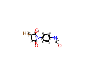 O=C=Nc1ccc(N2C(=O)CC(S)C2=O)cc1